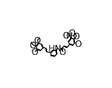 COc1cc(/C=C/c2cccc(NC(=O)/C=C/c3cc(OC)c(OC)c([N+](=O)[O-])c3)c2)cc(OC)c1OC